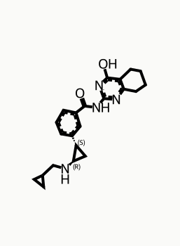 O=C(Nc1nc(O)c2c(n1)CCCC2)c1cccc([C@@H]2C[C@H]2NCC2CC2)c1